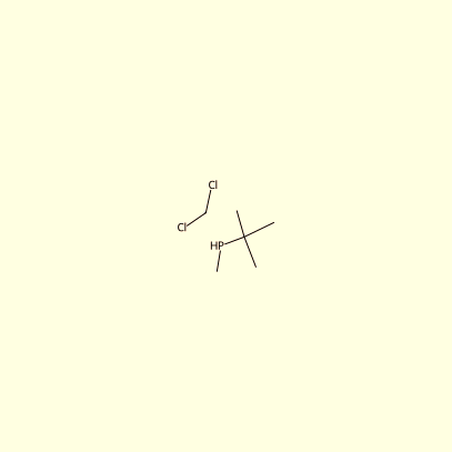 CPC(C)(C)C.ClCCl